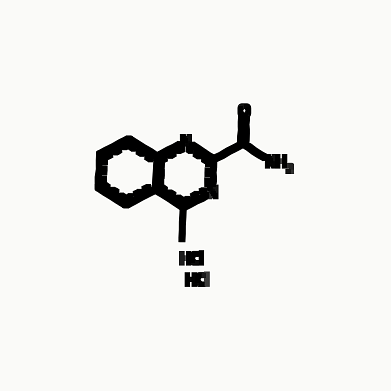 Cc1nc(C(N)=O)nc2ccccc12.Cl.Cl